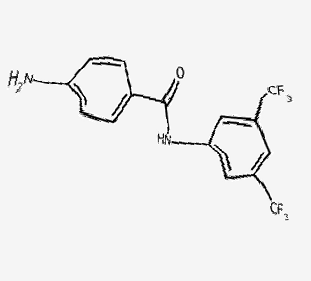 Nc1ccc(C(=O)Nc2cc(C(F)(F)F)cc(C(F)(F)F)c2)cc1